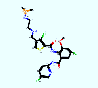 COc1cc(Cl)cc(C(=O)Nc2ccc(Cl)cn2)c1NC(=O)c1scc(CNCCN[PH2](C)C)c1Cl